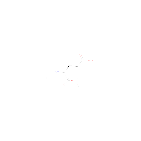 BN[C@@H](CCC(=O)O)C(=O)OC